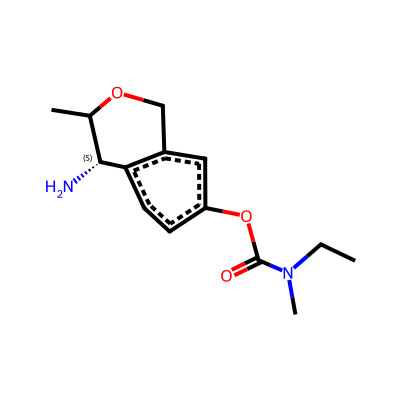 CCN(C)C(=O)Oc1ccc2c(c1)COC(C)[C@H]2N